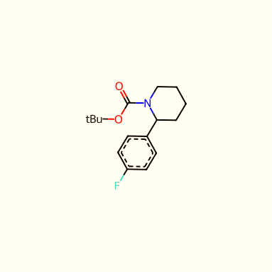 CC(C)(C)OC(=O)N1CCCCC1c1ccc(F)cc1